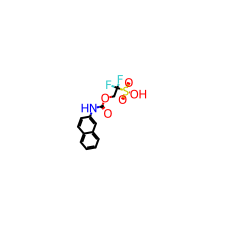 O=C(Nc1ccc2ccccc2c1)OCC(F)(F)S(=O)(=O)O